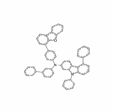 c1ccc(-c2cccc(N(c3ccc(-c4cccc5c4oc4ccccc45)cc3)c3ccc4c5c(-c6ccccc6)cccc5n(-c5ccccc5)c4c3)c2)cc1